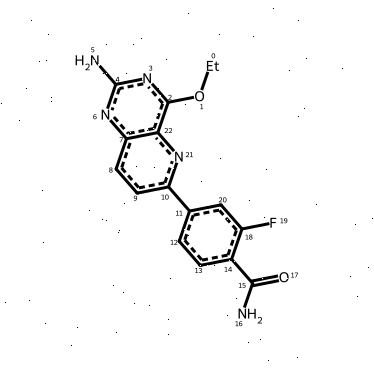 CCOc1nc(N)nc2ccc(-c3ccc(C(N)=O)c(F)c3)nc12